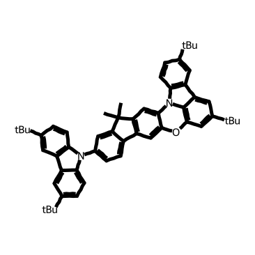 CC(C)(C)c1ccc2c(c1)c1cc(C(C)(C)C)ccc1n2-c1ccc2c(c1)C(C)(C)c1cc3c(cc1-2)Oc1cc(C(C)(C)C)cc2c4cc(C(C)(C)C)ccc4n-3c12